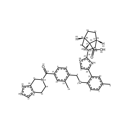 Cc1ccc(OCc2ccc(C(=O)N3CCn4cnnc4C3)cc2C)c(-c2csc(N3C[C@H]4CC[C@@H](C3)[C@H]4C(=O)O)n2)c1